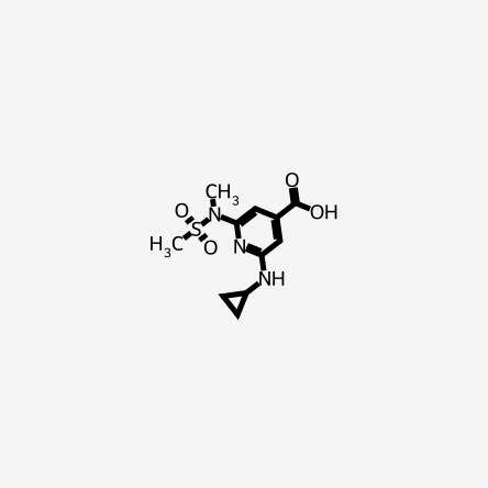 CN(c1cc(C(=O)O)cc(NC2CC2)n1)S(C)(=O)=O